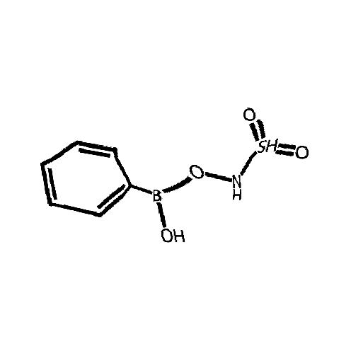 O=[SH](=O)NOB(O)c1ccccc1